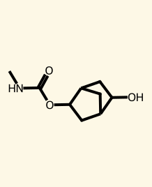 CNC(=O)OC1CC2CC1CC2O